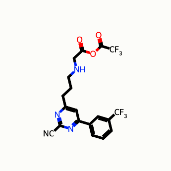 N#Cc1nc(CCCNCC(=O)OC(=O)C(F)(F)F)cc(-c2cccc(C(F)(F)F)c2)n1